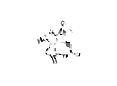 COC(=O)c1nc(Cl)nc2[nH]cc(C)c12